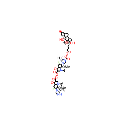 COc1c(N2CCN(C(=O)OCOC(=O)CCCCC(=O)[C@@]3(O)CCC4C5CCC6=CC(=O)C=C[C@]6(C)C5[C@@H](O)C[C@@]43C)C(C)C2)c(F)cc2c(=O)c(C(=O)OCOC(=O)c3cn(C4CC4)c4c(OC)c(N5CCNCC5C)c(F)cc4c3=O)cn(C3CC3)c12